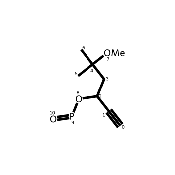 C#CC(CC(C)(C)OC)OP=O